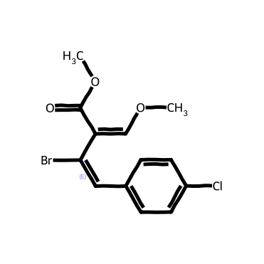 COC=C(C(=O)OC)/C(Br)=C\c1ccc(Cl)cc1